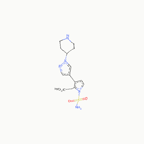 NS(=O)(=O)n1ccc(-c2cnn(C3CCNCC3)c2)c1C(=O)O